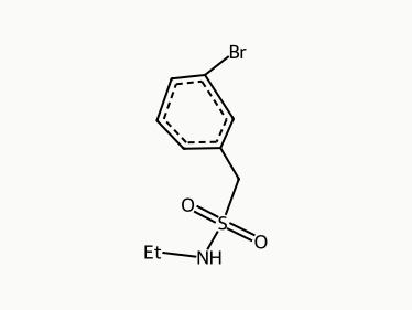 CCNS(=O)(=O)Cc1cccc(Br)c1